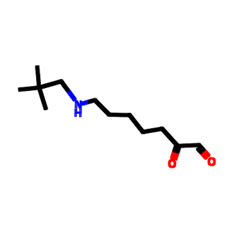 CC(C)(C)CNCCCCCC(=O)C=O